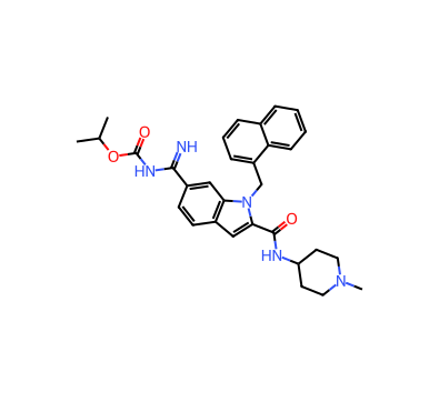 CC(C)OC(=O)NC(=N)c1ccc2cc(C(=O)NC3CCN(C)CC3)n(Cc3cccc4ccccc34)c2c1